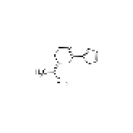 CC(C)=C1CC[C]=C(C2=CC=CC2)C1